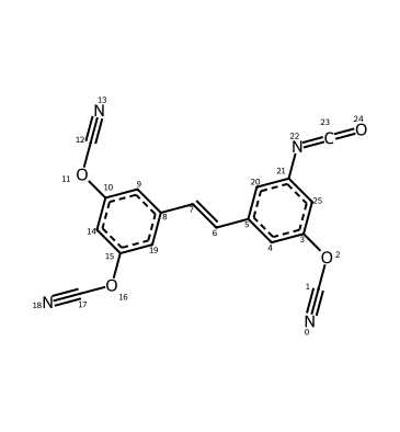 N#COc1cc(/C=C/c2cc(OC#N)cc(OC#N)c2)cc(N=C=O)c1